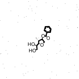 C[C@H]1[C@@H]([C@H](O)CO)OC[C@@H]1OC(=O)c1ccccc1